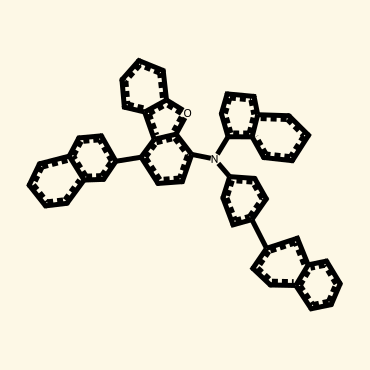 c1ccc2cc(-c3ccc(N(c4cccc5ccccc45)c4ccc(-c5ccc6ccccc6c5)c5c4oc4ccccc45)cc3)ccc2c1